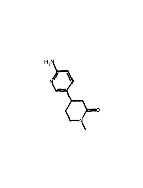 CN1CCC(c2ccc(N)nc2)CC1=O